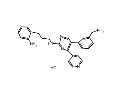 Cl.NCc1cccc(-c2cnc(NCCCc3ccccc3N)nc2-c2ccncc2)c1